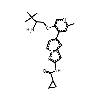 Cc1cc(-c2ccn3nc(NC(=O)C4CC4)cc3c2)c(OCC(N)C(C)(C)C)cn1